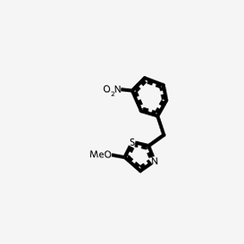 COc1cnc(Cc2cccc([N+](=O)[O-])c2)s1